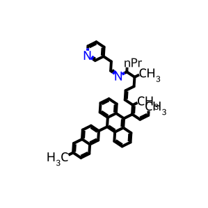 C\C=C/C(=C(C)/C=C\CC(C)C(CCC)/N=C\Cc1cccnc1)c1c2ccccc2c(-c2ccc3cc(C)ccc3c2)c2ccccc12